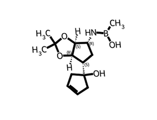 CB(O)N[C@@H]1C[C@H](C2(O)CC=CC2)[C@H]2OC(C)(C)O[C@H]21